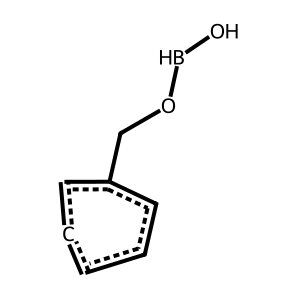 OBOCc1ccccc1